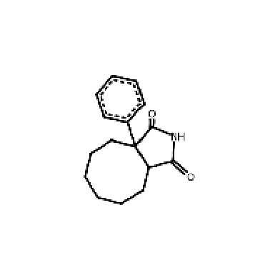 O=C1NC(=O)C2(c3ccccc3)CCCCCCC12